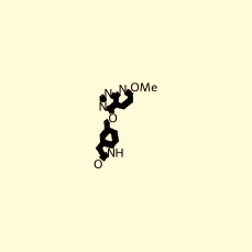 COc1ccc2c(OCc3ccc4c(c3)CC(=O)N4)ncnc2n1